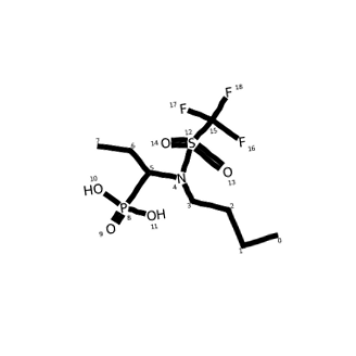 CCCCN(C(CC)P(=O)(O)O)S(=O)(=O)C(F)(F)F